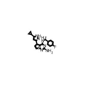 C[C@H](Nc1nc(N)nn2ccc(-c3cc(C4CC4)[nH]n3)c12)c1ccc(F)cc1